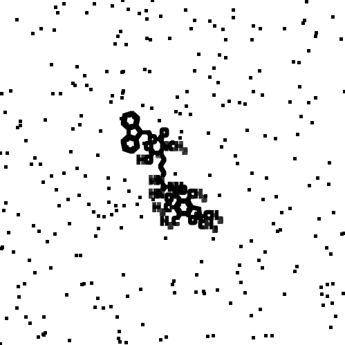 Cc1c(C)c(S(=O)(=O)NC(=N)NCCC[C@@H](C(=O)O)N(C)C(=O)OCC2c3ccccc3-c3ccccc32)c(C)c2c1OC(C)(C)C2